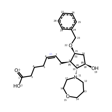 O=C(O)CCC/C=C\C[C@@H]1[C@@H](N2CCCOCC2)[C@H](O)C[C@@H]1OCc1ccccc1